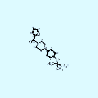 CC(C)(Oc1ccc(N2CCN(C(=O)c3ccco3)CC2)cc1)C(=O)O